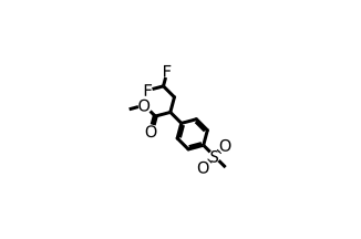 COC(=O)C(CC(F)F)c1ccc(S(C)(=O)=O)cc1